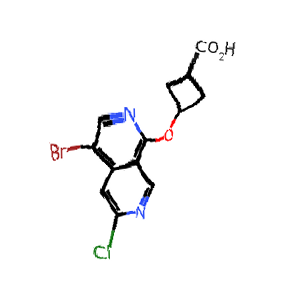 O=C(O)C1CC(Oc2ncc(Br)c3cc(Cl)ncc23)C1